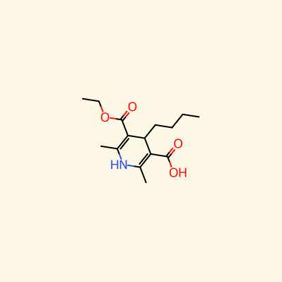 CCCCC1C(C(=O)O)=C(C)NC(C)=C1C(=O)OCC